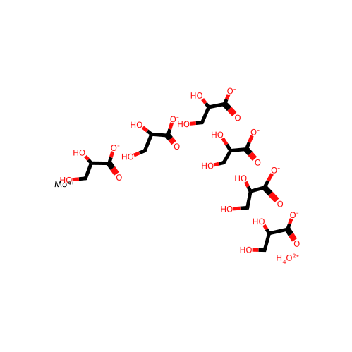 O=C([O-])C(O)CO.O=C([O-])C(O)CO.O=C([O-])C(O)CO.O=C([O-])C(O)CO.O=C([O-])C(O)CO.O=C([O-])C(O)CO.[Mo+4].[OH4+2]